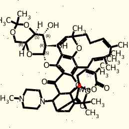 COC(=O)/C(C)=C\CC12OC(C)(C)C3CC(C1=O)C(N1CCN(C)CC1)C1C(=O)c4c(O[C@@H]5O[C@@H]6COC(C)(C)O[C@H]6[C@H](O)[C@H]5O)c5c(c(CC=C(C)C)c4OC132)OC(C)(CCC=C(C)C)C=C5